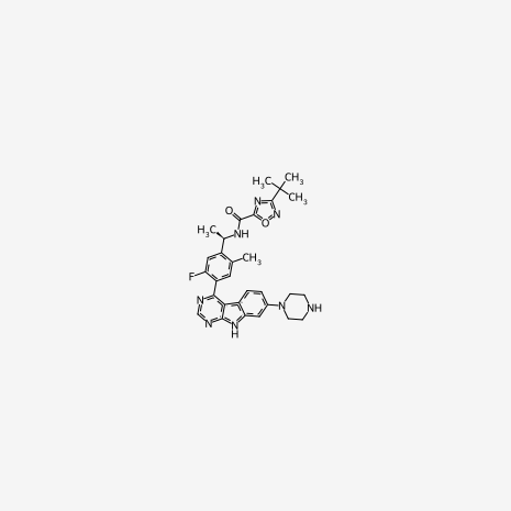 Cc1cc(-c2ncnc3[nH]c4cc(N5CCNCC5)ccc4c23)c(F)cc1[C@@H](C)NC(=O)c1nc(C(C)(C)C)no1